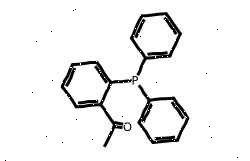 CC(=O)c1ccccc1P(c1ccccc1)c1ccccc1